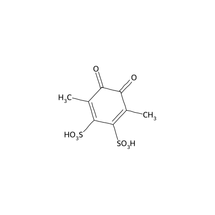 CC1=C(S(=O)(=O)O)C(S(=O)(=O)O)=C(C)C(=O)C1=O